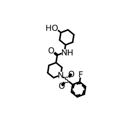 O=C(NC1CCCC(O)C1)C1CCCN(S(=O)(=O)c2ccccc2F)C1